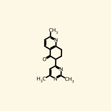 Cc1cc(C2CCc3nc(C)ccc3C2=O)nc(C)n1